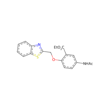 CCOC(=O)c1cc(NC(C)=O)ccc1OCc1nc2ccccc2s1